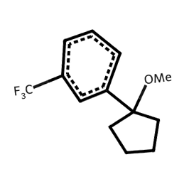 COC1(c2cccc(C(F)(F)F)c2)CCCC1